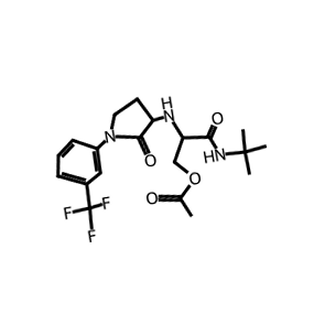 CC(=O)OCC(NC1CCN(c2cccc(C(F)(F)F)c2)C1=O)C(=O)NC(C)(C)C